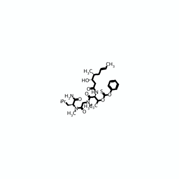 C/C=C/C[C@@H](C)[C@@H](O)CC(=O)N[C@H](C(=O)N(C)CC(=O)N(C)[C@@H](CC(C)C)C(N)=O)C(C)OC(=S)Oc1ccccc1